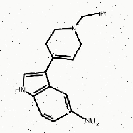 C[C](C)CN1CC=C(c2c[nH]c3ccc(N)cc23)CC1